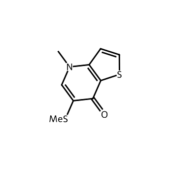 CSc1cn(C)c2ccsc2c1=O